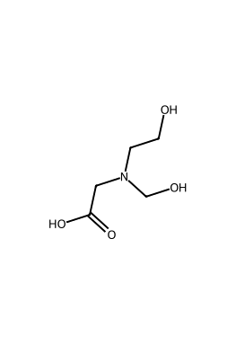 O=C(O)CN(CO)CCO